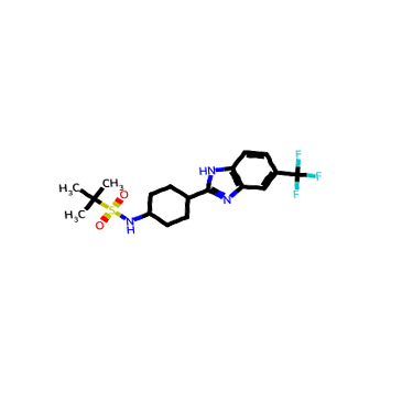 CC(C)(C)S(=O)(=O)NC1CCC(c2nc3cc(C(F)(F)F)ccc3[nH]2)CC1